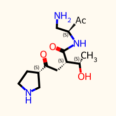 CC(=O)[C@H](CN)NC(=O)[C@@H](CC(=O)[C@H]1CCNC1)[C@H](C)O